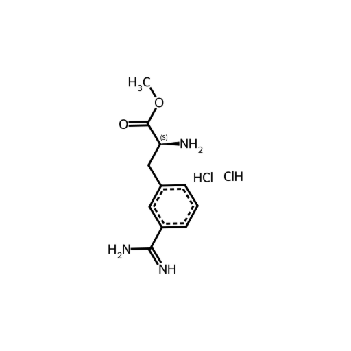 COC(=O)[C@@H](N)Cc1cccc(C(=N)N)c1.Cl.Cl